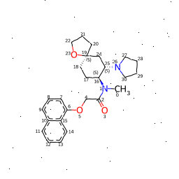 CN(C(=O)COc1cccc2ccccc12)[C@H]1CC[C@]2(CCCO2)C[C@@H]1N1CCCC1